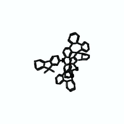 CC1(C)c2ccccc2-c2ccc(N(c3ccc4c(c3)-c3ccccc3-c3ccccc3O4)c3ccc4c(c3)C3(c5ccccc5-c5ccccc5-4)c4ccccc4-c4c3ccc3c4sc4ccccc43)cc21